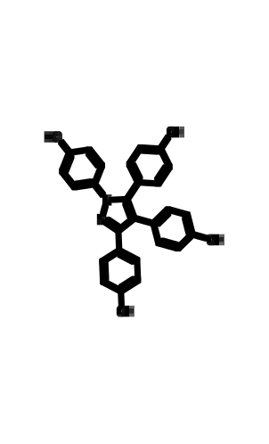 Oc1ccc(-c2nn(-c3ccc(O)cc3)c(-c3ccc(O)cc3)c2-c2ccc(O)cc2)cc1